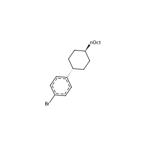 CCCCCCCC[C@H]1CC[C@H](c2ccc(Br)cc2)CC1